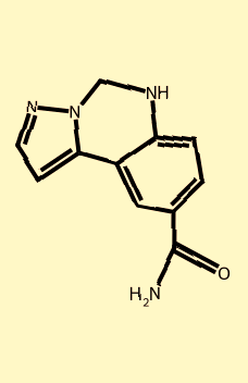 NC(=O)c1ccc2c(c1)-c1ccnn1CN2